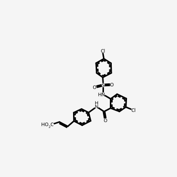 O=C(O)C=Cc1ccc(NC(=O)c2cc(Cl)ccc2NS(=O)(=O)c2ccc(Cl)cc2)cc1